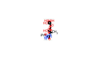 C=CC1C(OC(=O)COC(=O)c2cc(O)c(O)c(O)c2)C(CO)OC1n1cnc2c(=O)[nH]c(NC(=O)C(C)C)nc21